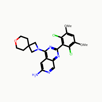 COc1cc(OC)c(Cl)c(-c2nc(N3CC4(CCOCC4)C3)c3cc(N)ncc3n2)c1Cl